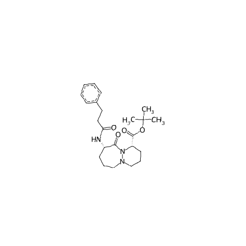 CC(C)(C)OC(=O)[C@@H]1CCCN2CCC[C@H](NC(=O)CCc3ccccc3)C(=O)N12